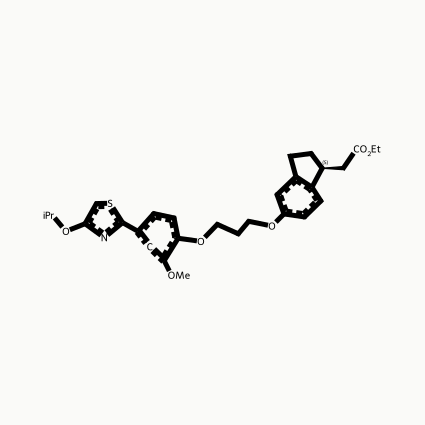 CCOC(=O)C[C@@H]1CCc2cc(OCCCOc3ccc(-c4nc(OC(C)C)cs4)cc3OC)ccc21